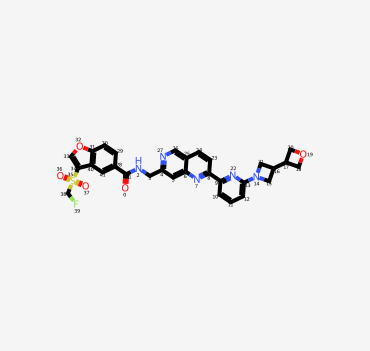 O=C(NCc1cc2nc(-c3cccc(N4CC(C5COC5)C4)n3)ccc2cn1)c1ccc2occ(S(=O)(=O)CF)c2c1